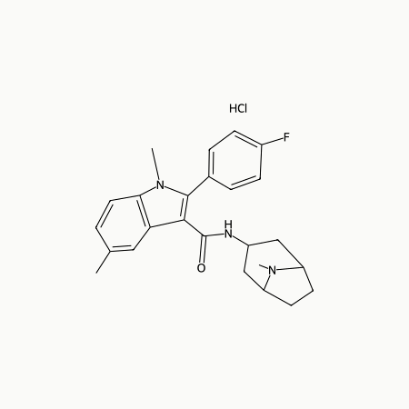 Cc1ccc2c(c1)c(C(=O)NC1CC3CCC(C1)N3C)c(-c1ccc(F)cc1)n2C.Cl